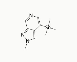 Cn1cc2[c]([Sn]([CH3])([CH3])[CH3])cncc2n1